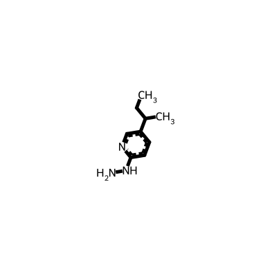 CCC(C)c1ccc(NN)nc1